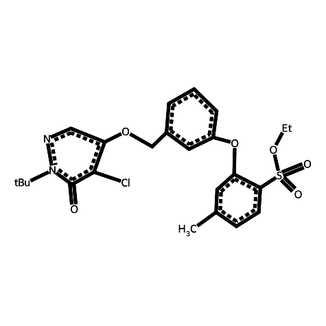 CCOS(=O)(=O)c1ccc(C)cc1Oc1cccc(COc2cnn(C(C)(C)C)c(=O)c2Cl)c1